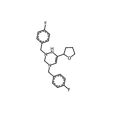 Fc1ccc(CN2C=C(C3CCCO3)NN(Cc3ccc(F)cc3)C2)cc1